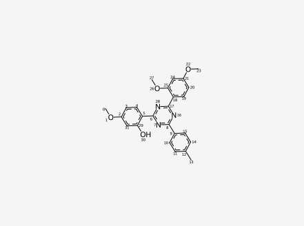 COc1ccc(-c2nc(-c3ccc(C)cc3)nc(-c3ccc(OC)cc3OC)n2)c(O)c1